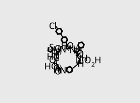 O=C1C[C@@H](O)C(=O)Nc2ccc(cc2)C[C@@H](C(=O)O)NC(=O)[C@@H](Cc2ccccc2)NC(=O)[C@H](Cc2ccc(-c3ccc(Cl)cc3)cc2)NC(=O)[C@@H](Cc2cccs2)N1